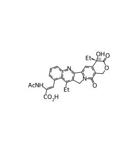 CCc1c2c(nc3cccc(C=C(NC(C)=O)C(=O)O)c13)-c1cc3c(c(=O)n1C2)COC(=O)[C@]3(O)CC